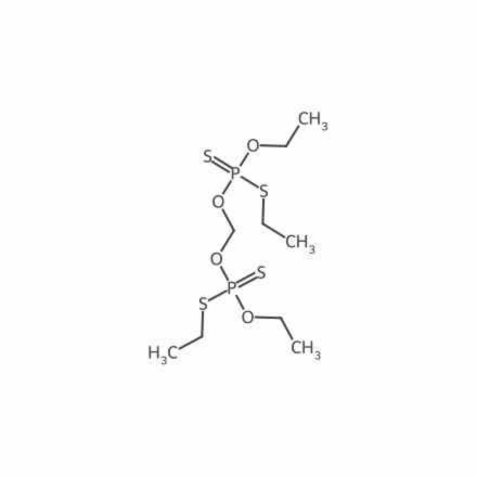 CCOP(=S)(OCOP(=S)(OCC)SCC)SCC